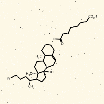 CC(C)CCC[C@@H](C)C1CC[C@@]2(O)C3CC=C4C[C@@H](OC(=O)CCCCCCC(=O)O)CC[C@]4(C)C3CC[C@]12C